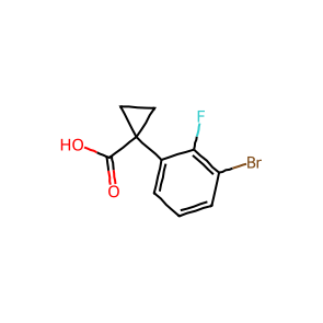 O=C(O)C1(c2cccc(Br)c2F)CC1